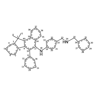 CC1(C)c2ccccc2-c2c(-c3ccccc3)c(Nc3ccc(CNCc4ccccc4)cc3)c3ccccc3c21